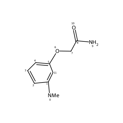 CNc1cccc(OCC(N)=O)c1